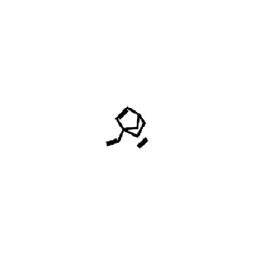 C=C.C=CC12C=CC(CC1)C2